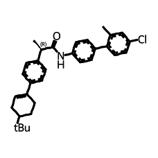 Cc1cc(Cl)ccc1-c1ccc(NC(=O)[C@H](C)c2ccc(C3=CCC(C(C)(C)C)CC3)cc2)cc1